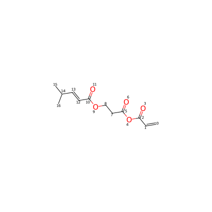 C=CC(=O)OC(=O)CCOC(=O)C=CC(C)C